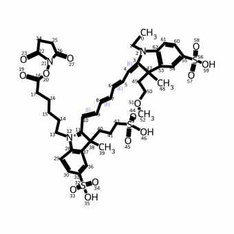 CCN1/C(=C/C=C/C=C/C=C/C2=[N+](CCCCCC(=O)ON3C(=O)CCC3=O)c3ccc(S(=O)(=O)O)cc3C2(C)CCCS(=O)(=O)O)C(C)(CCOC)c2cc(S(=O)(=O)O)ccc21